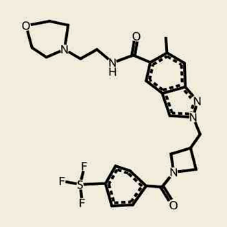 Cc1cc2nn(CC3CN(C(=O)c4ccc(S(F)(F)F)cc4)C3)cc2cc1C(=O)NCCN1CCOCC1